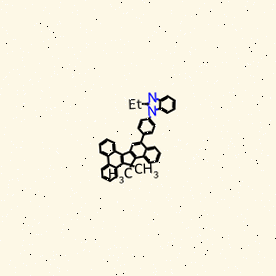 CCc1nc2ccccc2n1-c1ccc(-c2cc3c(c4ccccc24)C(C)(C)c2c-3c3ccccc3c3ccccc23)cc1